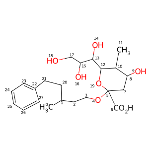 CC(CCOC1(C(=O)O)CC(O)C(C)C(C(O)C(O)CO)O1)CCc1ccccc1